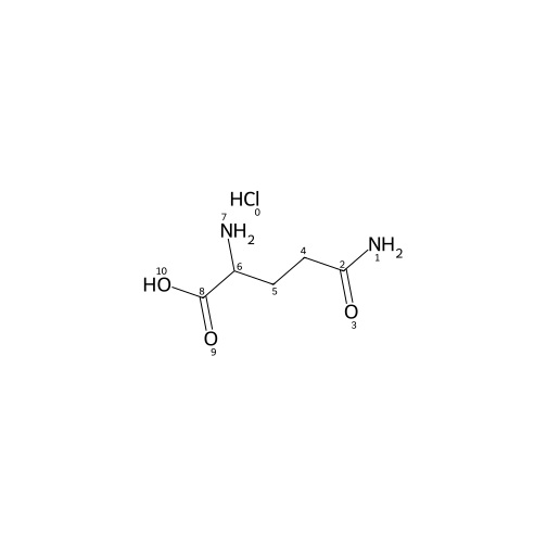 Cl.NC(=O)CCC(N)C(=O)O